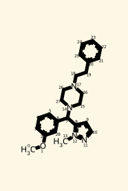 COc1cccc(C(c2ccnn2C)N2CCN(CCc3ccccc3)CC2)c1